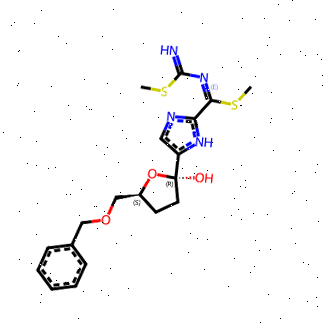 CSC(=N)/N=C(/SC)c1ncc([C@@]2(O)CC[C@@H](COCc3ccccc3)O2)[nH]1